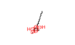 CCCCCCCCCCCCOC1[C@@H](O)C(C)O[C@@H](OC)[C@H]1O